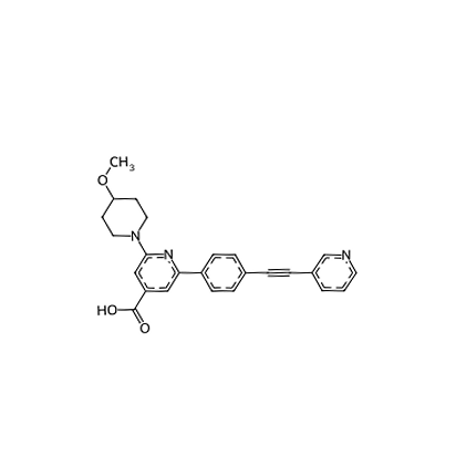 COC1CCN(c2cc(C(=O)O)cc(-c3ccc(C#Cc4cccnc4)cc3)n2)CC1